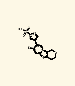 CS(=O)(=O)n1cc(-c2cn3c4c(nc3cc2F)CCOC4)cn1